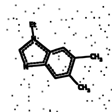 CCn1cnc2cc(C)c(C)cc21